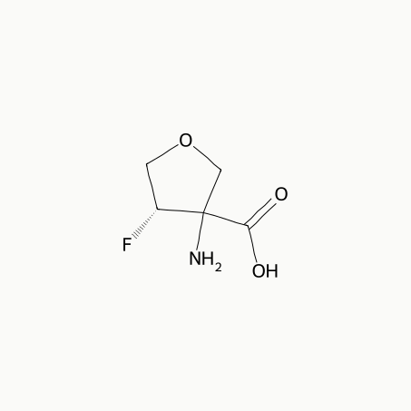 NC1(C(=O)O)COC[C@H]1F